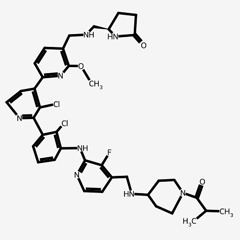 COc1nc(-c2ccnc(-c3cccc(Nc4nccc(CNC5CCN(C(=O)C(C)C)CC5)c4F)c3Cl)c2Cl)ccc1CNC[C@H]1CCC(=O)N1